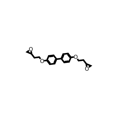 c1cc(-c2ccc(OCCC3CO3)cc2)ccc1OCCC1CO1